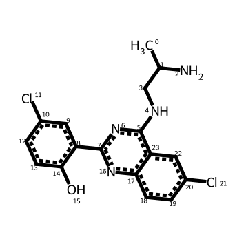 CC(N)CNc1nc(-c2cc(Cl)ccc2O)nc2ccc(Cl)cc12